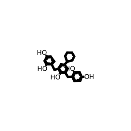 Oc1ccc(Cc2cc(C3CCCCC3)cc(Cc3ccc(O)cc3O)c2O)c(O)c1